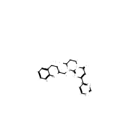 CC1CCn2c(nc(-c3ccncn3)cc2=O)N1CC1CCc2ccccc2O1